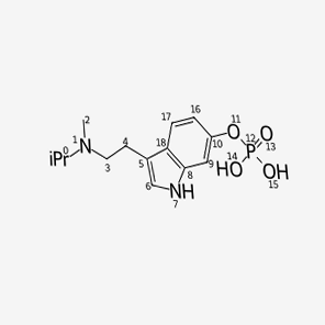 CC(C)N(C)CCc1c[nH]c2cc(OP(=O)(O)O)ccc12